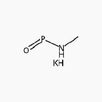 CNP=O.[KH]